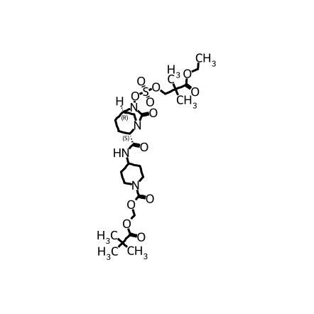 CCOC(=O)C(C)(C)COS(=O)(=O)ON1C(=O)N2C[C@H]1CC[C@H]2C(=O)NC1CCN(C(=O)OCOC(=O)C(C)(C)C)CC1